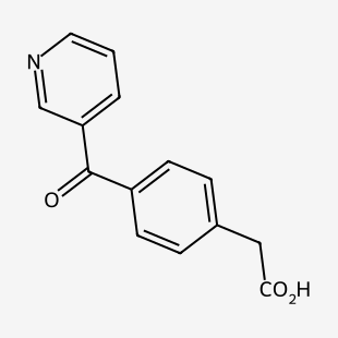 O=C(O)Cc1ccc(C(=O)c2cccnc2)cc1